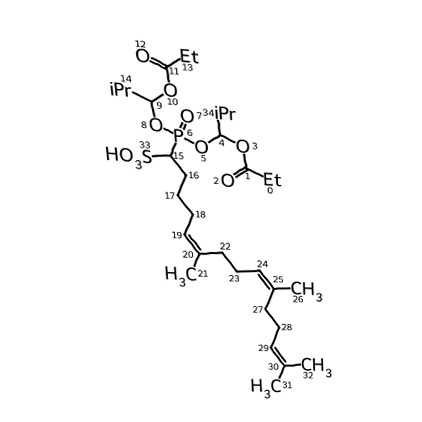 CCC(=O)OC(OP(=O)(OC(OC(=O)CC)C(C)C)C(CCCC=C(C)CCC=C(C)CCC=C(C)C)S(=O)(=O)O)C(C)C